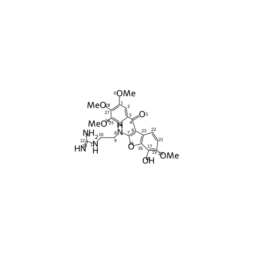 COc1cc(C(=O)c2c(NCCNC(=N)N)oc3c(O)c(OC)ccc23)cc(OC)c1OC